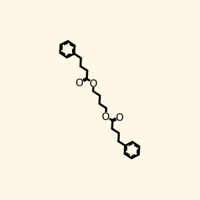 O=C(CCCc1ccccc1)OCCCCOC(=O)CCCc1ccccc1